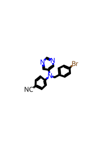 N#Cc1ccc(N(Cc2ccc(Br)cc2)c2cncnc2)cc1